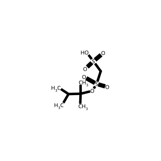 CC(C)C(C)(C)OS(=O)(=O)CS(=O)(=O)O